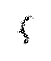 Nc1ccc(C=CC(=O)NCc2cc3cc(-c4ccc(C(=O)N5CCC(F)(F)CC5)cn4)cc(Cl)c3o2)cn1